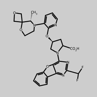 C[C@@H]1N(c2cccnc2O[C@H]2CC(C(=O)O)N(c3nc(C(F)F)nc4c3oc3ccccc34)C2)CCOC12COC2